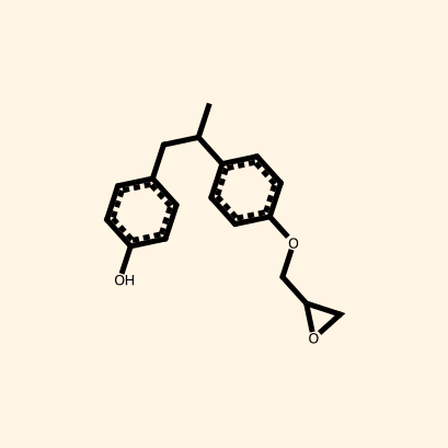 CC(Cc1ccc(O)cc1)c1ccc(OCC2CO2)cc1